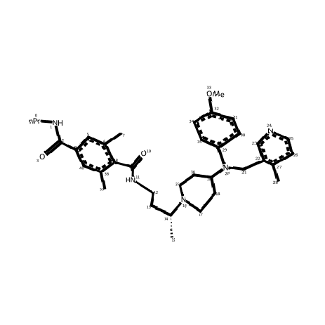 CCCNC(=O)c1cc(C)c(C(=O)NCC[C@@H](C)N2CCC(N(Cc3cnccc3C)c3ccc(OC)cc3)CC2)c(C)c1